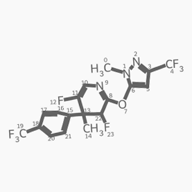 Cn1nc(C(F)(F)F)cc1OC1=NC=C(F)C(C)(c2ccc(C(F)(F)F)cc2)C1F